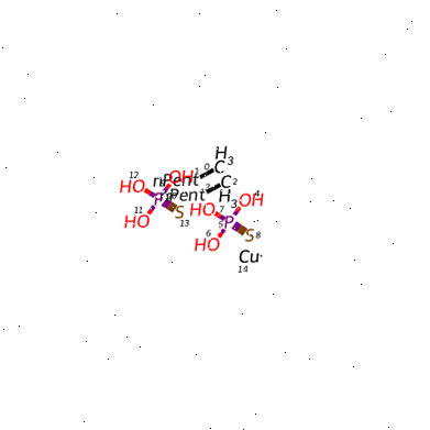 CCCCCC.CCCCCC.OP(O)(O)=S.OP(O)(O)=S.[Cu]